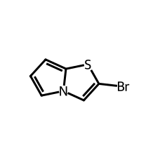 Brc1cn2cccc2s1